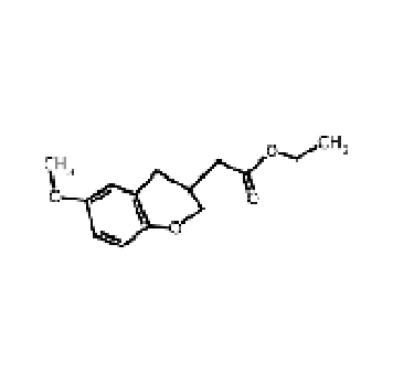 CCOC(=O)CC1COc2ccc(OC)cc2C1